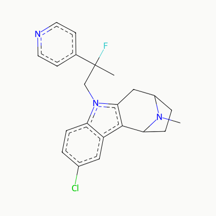 CN1C2CCC1c1c(n(CC(C)(F)c3ccncc3)c3ccc(Cl)cc13)C2